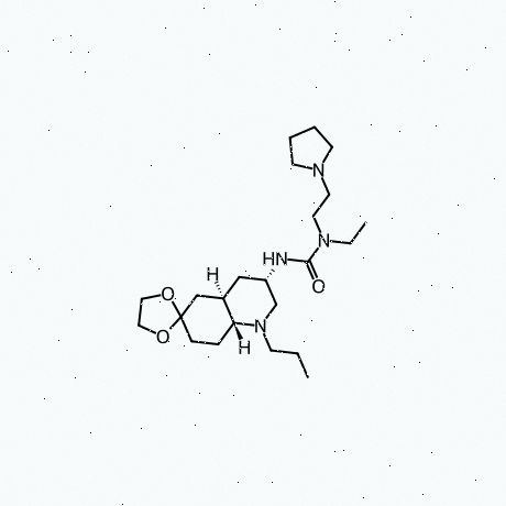 CCCN1C[C@@H](NC(=O)N(CC)CCN2CCCC2)C[C@@H]2CC3(CC[C@H]21)OCCO3